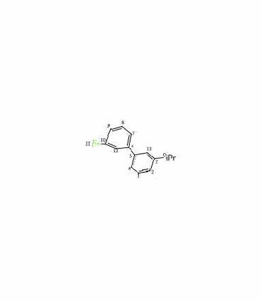 CC(C)c1cccc(-c2cccc(F)c2)c1